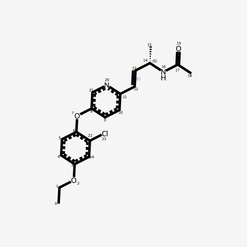 CCOc1ccc(Oc2ccc(/C=C/[C@H](C)NC(C)=O)nc2)c(Cl)c1